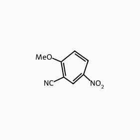 COc1ccc([N+](=O)[O-])cc1C#N